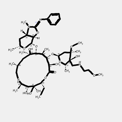 CC[C@H]1OC(=O)[C@H](C)[C@@H](O[C@H]2C[C@@](C)(OC)[C@](O)(CNCCOC)[C@H](C)O2)[C@H](C)[C@@H](O[C@@H]2O[C@H](C)C[C@H]3[C@H]2O/C(=N\c2ccccc2)N3C)[C@](C)(O)C[C@@H](C)CN[C@H](C)[C@@H](O)[C@]1(C)O